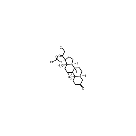 CCC(=O)O[C@]1(C(=O)CCl)CC[C@H]2[C@@H]3CC[C@@H]4CC(=O)CC[C@]4(C)[C@]34OC4C[C@@]21C